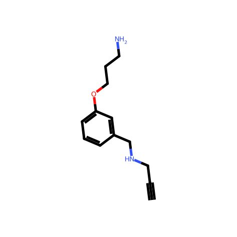 C#CCNCc1cccc(OCCCN)c1